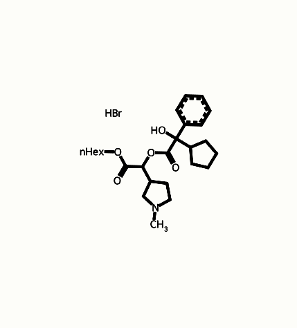 Br.CCCCCCOC(=O)C(OC(=O)C(O)(c1ccccc1)C1CCCC1)C1CCN(C)C1